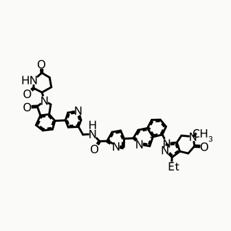 CCc1nn(-c2cccc3cc(-c4ccc(C(=O)NCc5cncc(-c6cccc7c6CN(C6CCC(=O)NC6=O)C7=O)c5)nc4)ncc23)c2c1CC(=O)N(C)C2